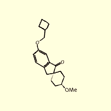 CO[C@H]1CC[C@]2(CC1)Cc1ccc(OCC3CCC3)cc1C2=O